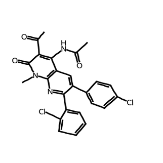 CC(=O)Nc1c(C(C)=O)c(=O)n(C)c2nc(-c3ccccc3Cl)c(-c3ccc(Cl)cc3)cc12